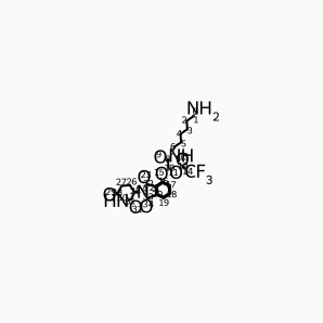 NCCCCCCNC(=O)C(OC(=O)C(F)(F)F)Oc1cccc2c1C(=O)N(C1CCC(=O)NC1=O)C2=O